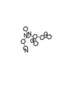 c1ccc(-c2nc(-c3cccc(-c4ccncc4)c3)cc(-c3ccc(-c4ccc5c(c4)oc4ccccc45)c4c3oc3ccccc34)n2)cc1